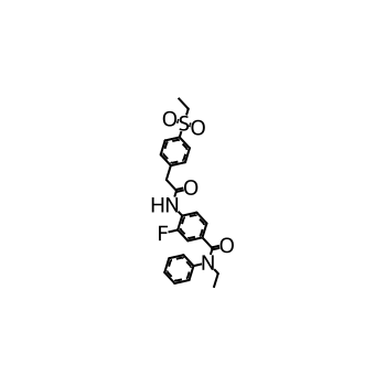 CCN(C(=O)c1ccc(NC(=O)Cc2ccc(S(=O)(=O)CC)cc2)c(F)c1)c1ccccc1